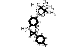 CC1(C)OB(c2ccc(N)c(OC3(c4ccc(F)cc4)CC3)c2)OC1(C)C